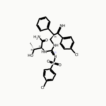 C[C@@H](O)[C@H](N/C(=N\S(=O)(=O)c1ccc(Cl)cc1)NC[C@H](C(=N)c1ccc(Cl)cc1)c1ccccc1)C(N)=O